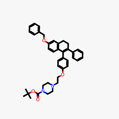 CC(C)(C)OC(=O)N1CCN(CCOc2ccc(C3=C(c4ccccc4)CCc4cc(OCc5ccccc5)ccc43)cc2)CC1